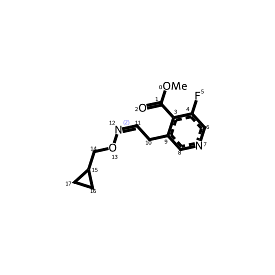 COC(=O)c1c(F)cncc1C/C=N\OCC1CC1